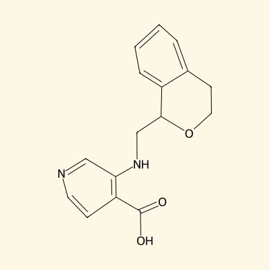 O=C(O)c1ccncc1NCC1OCCc2ccccc21